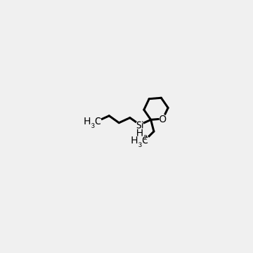 CCCC[SiH2]C1(CC)CCCCO1